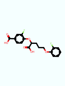 O=C(O)c1ccc(OC(CCCOc2ccccc2F)C(=O)O)c(F)c1